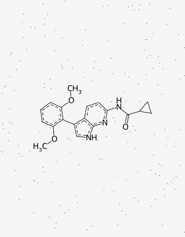 COc1cccc(OC)c1-c1c[nH]c2nc(NC(=O)C3CC3)ccc12